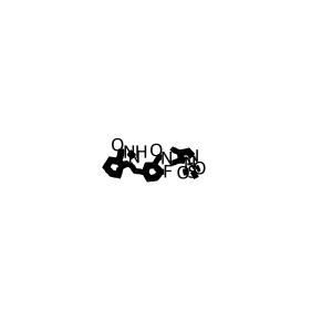 CS(=O)(=O)n1ncc2c1CN(C(=O)c1cc(Cc3n[nH]c(=O)c4ccccc34)ccc1F)C2